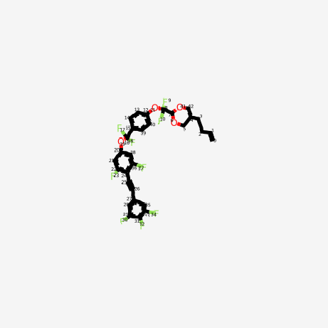 C=CCCC1COC(C(F)(F)Oc2ccc(C(F)(F)Oc3cc(F)c(C#Cc4cc(F)c(F)c(F)c4)c(F)c3)cc2)OC1